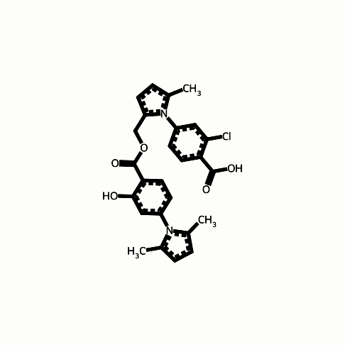 Cc1ccc(C)n1-c1ccc(C(=O)OCc2ccc(C)n2-c2ccc(C(=O)O)c(Cl)c2)c(O)c1